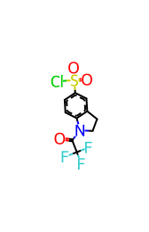 O=C(N1CCc2cc(S(=O)(=O)Cl)ccc21)C(F)(F)F